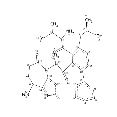 CC(C)C(N)C(=O)c1c(C[C@@H](C)O)ccc(-c2ccccc2)c1C(=O)N(C)N1C(=O)CCC(N)c2[nH]ccc21